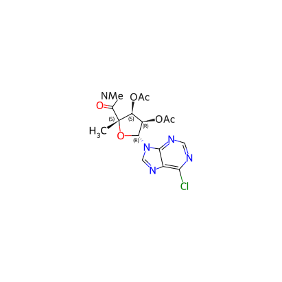 CNC(=O)[C@@]1(C)O[C@@H](n2cnc3c(Cl)ncnc32)[C@H](OC(C)=O)[C@@H]1OC(C)=O